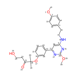 COc1ccc(CCNc2cc(-c3cccc(OC(C)(C)C(=O)CCO)c3)nc(OC)n2)cc1